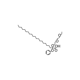 CCCCCCCCCCCCCCCCCCCCC(OCCOCCOCC)(Oc1ccccc1)C(=O)O